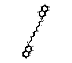 c1ccc2cc(OCCCCCCCCOc3ccc4ccccc4c3)ccc2c1